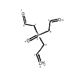 C=CCP(=O)(CC=O)CC=O